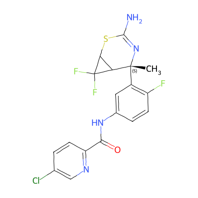 C[C@]1(c2cc(NC(=O)c3ccc(Cl)cn3)ccc2F)N=C(N)SC2C1C2(F)F